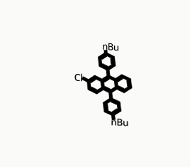 CCCCc1ccc(-c2c3ccccc3c(-c3ccc(CCCC)cc3)c3cc(Cl)ccc23)cc1